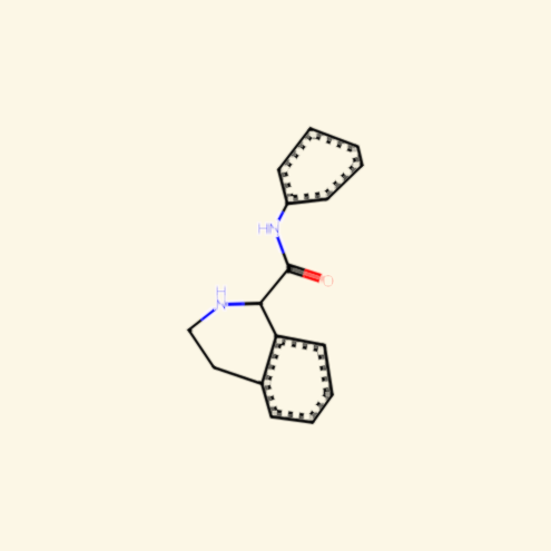 O=C(Nc1ccccc1)C1NCCc2ccccc21